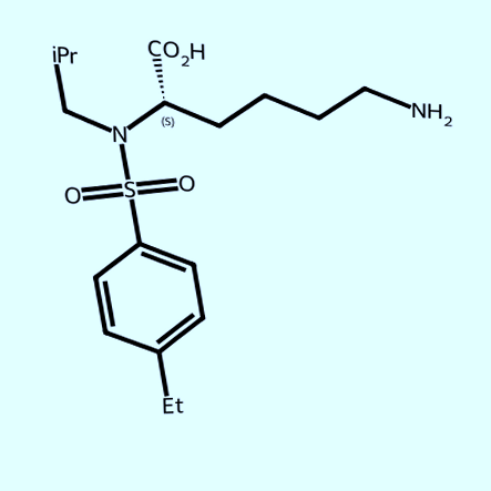 CCc1ccc(S(=O)(=O)N(CC(C)C)[C@@H](CCCCN)C(=O)O)cc1